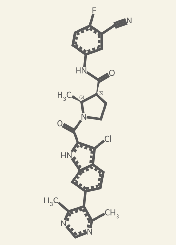 Cc1ncnc(C)c1-c1ccc2c(Cl)c(C(=O)N3CC[C@H](C(=O)Nc4ccc(F)c(C#N)c4)[C@@H]3C)[nH]c2c1